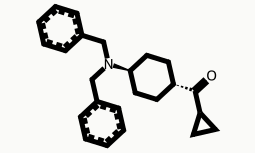 O=C(C1CC1)[C@H]1CC[C@H](N(Cc2ccccc2)Cc2ccccc2)CC1